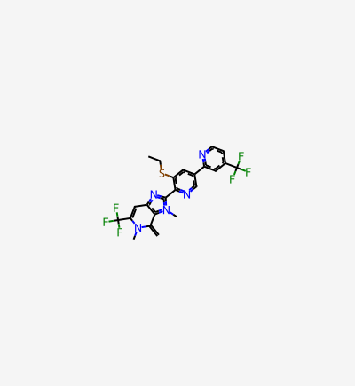 C=C1c2c(nc(-c3ncc(-c4cc(C(F)(F)F)ccn4)cc3SCC)n2C)C=C(C(F)(F)F)N1C